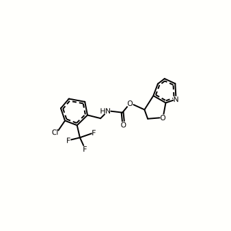 O=C(NCc1cccc(Cl)c1C(F)(F)F)OC1COc2ncccc21